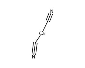 N#[C][Ca][C]#N